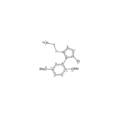 CCc1csc(CCN)c1-c1cc(OC)ccc1OC